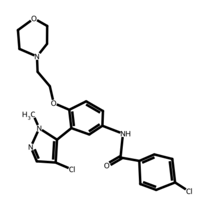 Cn1ncc(Cl)c1-c1cc(NC(=O)c2ccc(Cl)cc2)ccc1OCCN1CCOCC1